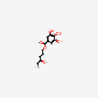 CC(=O)CC(=O)CCCOC(=O)c1cc(O)c(O)c(O)c1